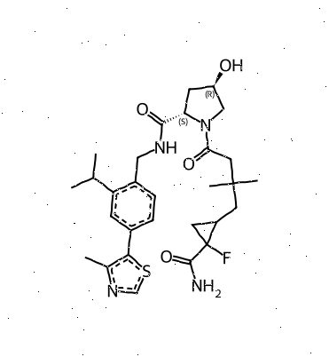 Cc1ncsc1-c1ccc(CNC(=O)[C@@H]2C[C@@H](O)CN2C(=O)CC(C)(C)CC2CC2(F)C(N)=O)c(C(C)C)c1